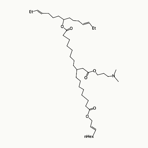 CC/C=C/CCCC(CCC/C=C/CC)OC(=O)CCCCCCCC(CCCCCCCC(=O)OC/C=C/CCCCCC)CC(=O)OCCCN(C)C